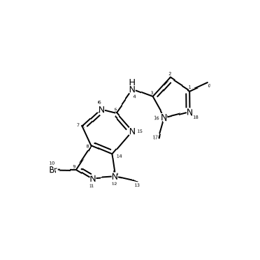 Cc1cc(Nc2ncc3c(Br)nn(C)c3n2)n(C)n1